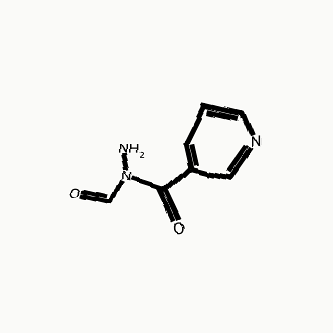 NN(C=O)C(=O)c1cccnc1